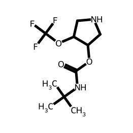 CC(C)(C)NC(=O)OC1CNCC1OC(F)(F)F